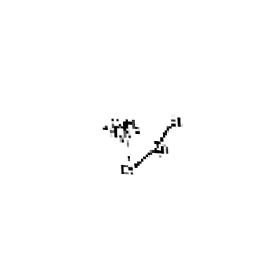 C[CH2][Zn][CH2]C.N.[CaH2]